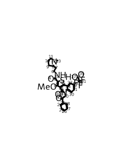 COc1c(C(=O)NCCC2CCCN2C)sc2c1c(=O)n(CC(=O)c1ccccc1)c1ccccc21.O=C(O)C(F)(F)F